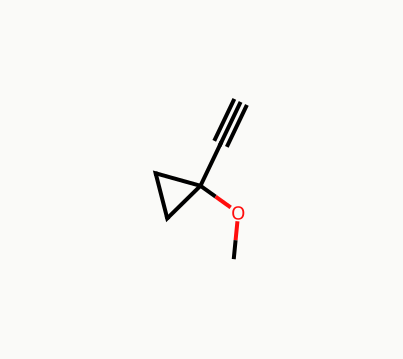 C#CC1(OC)CC1